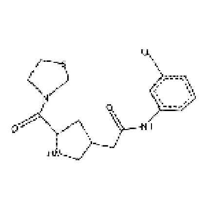 O=C(CC1CNC(C(=O)N2CCSC2)C1)Nc1cccc(Cl)c1